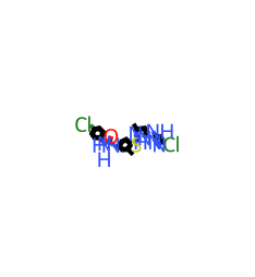 Cc1cc(Nc2cc(Cl)n[nH]2)nc(Sc2ccc(NC(=O)Nc3ccc(Cl)cc3)cc2C)n1